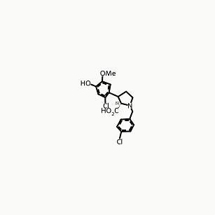 COc1cc(C2CCN(Cc3ccc(Cl)cc3)[C@@H]2C(=O)O)c(Cl)cc1O